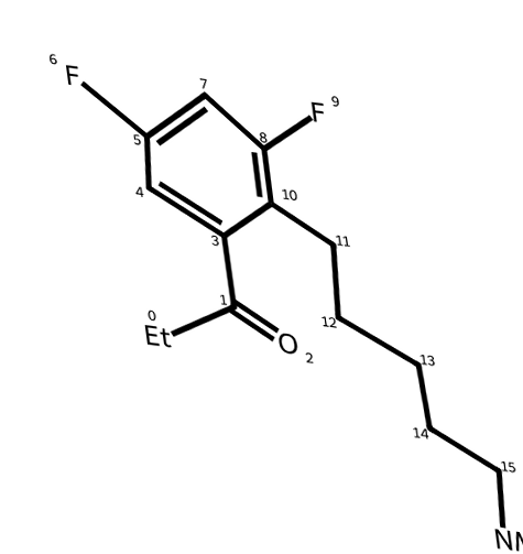 CCC(=O)c1cc(F)cc(F)c1CCCCCNC